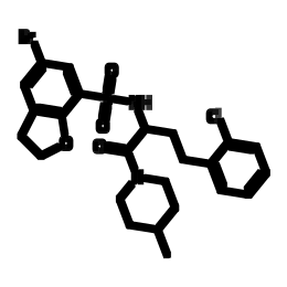 CC1CCN(C(=O)C(CCc2ccccc2Cl)NS(=O)(=O)c2cc(Br)cc3c2OCC3)CC1